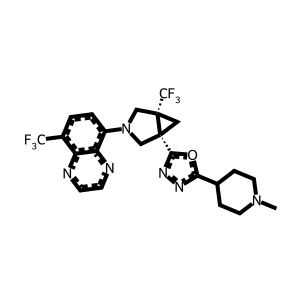 CN1CCC(c2nnc([C@]34CN(c5ccc(C(F)(F)F)c6nccnc56)C[C@@]3(C(F)(F)F)C4)o2)CC1